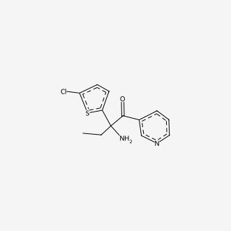 CCC(N)(C(=O)c1cccnc1)c1ccc(Cl)s1